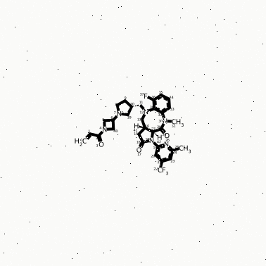 C=CC(=O)N1CC(N2CC[C@H](CN3C[C@H]4CC(=O)N(c5cc(C(F)(F)F)cc(C)n5)[C@@H]4C(=O)N(C)c4cccc(F)c43)C2)C1